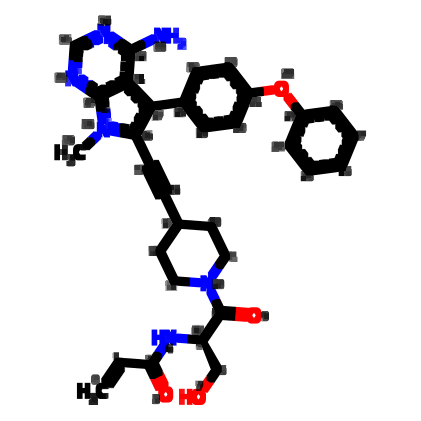 C=CC(=O)N[C@H](CO)C(=O)N1CCC(C#Cc2c(-c3ccc(Oc4ccccc4)cc3)c3c(N)ncnc3n2C)CC1